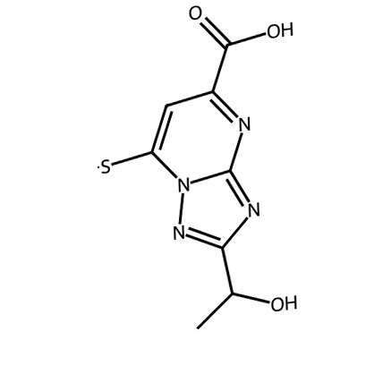 CC(O)c1nc2nc(C(=O)O)cc([S])n2n1